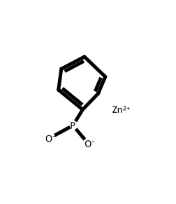 [O-]P([O-])c1ccccc1.[Zn+2]